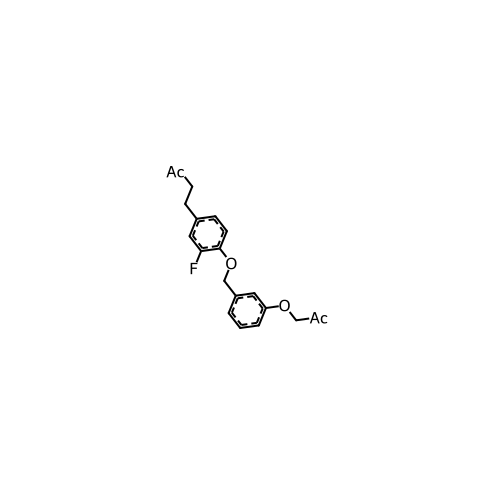 CC(=O)CCc1ccc(OCc2cccc(OCC(C)=O)c2)c(F)c1